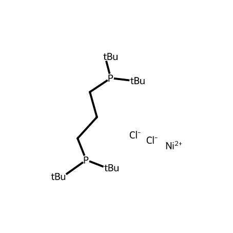 CC(C)(C)P(CCCP(C(C)(C)C)C(C)(C)C)C(C)(C)C.[Cl-].[Cl-].[Ni+2]